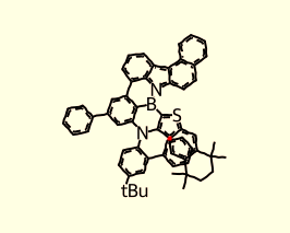 CC(C)(C)c1ccc(N2c3cc(-c4ccccc4)cc4c3B(c3sc5cc6c(cc5c32)C(C)(C)CCC6(C)C)n2c3ccc5ccccc5c3c3cccc-4c32)c(-c2ccccc2)c1